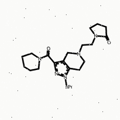 CCCn1nc(C(=O)N2CCCCC2)c2c1CCN(CCN1CCCC1=O)C2